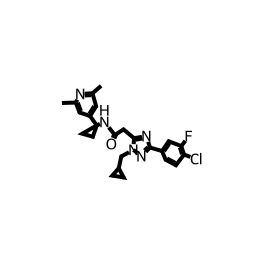 Cc1cc(C2(NC(=O)Cc3nc(-c4ccc(Cl)c(F)c4)nn3CC3CC3)CC2)cc(C)n1